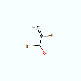 C=C(Br)C([O])Br